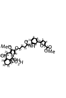 COC(=O)c1ccc(-c2cccc(NC(=O)CCCOc3cn4c(c3OC)C=[N+]([O-])C3=CCCCC3(C(=O)O)C4O)c2)o1